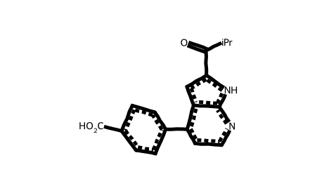 CC(C)C(=O)c1cc2c(-c3ccc(C(=O)O)cc3)ccnc2[nH]1